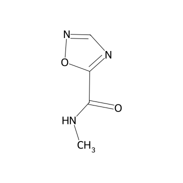 CNC(=O)c1ncno1